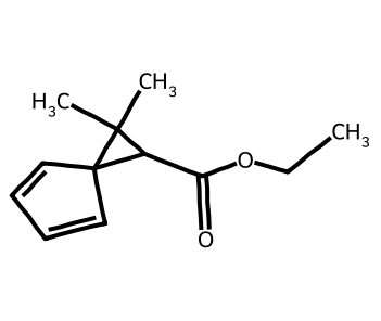 CCOC(=O)C1C(C)(C)C12C=CC=C2